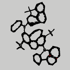 CC1(C)c2cccc3ccc4cc(N(c5ccccc5)c5cc([Si](C)(C)C)c6ccc7c(N(c8ccccc8)c8ccccc8-c8ccccc8)cc([Si](C)(C)C)c8ccc5c6c78)cc1c4c23